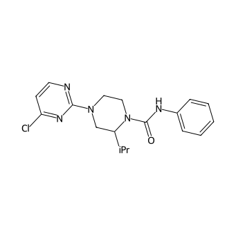 CC(C)C1CN(c2nccc(Cl)n2)CCN1C(=O)Nc1ccccc1